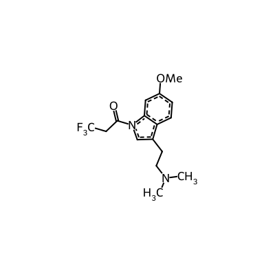 COc1ccc2c(CCN(C)C)cn(C(=O)CC(F)(F)F)c2c1